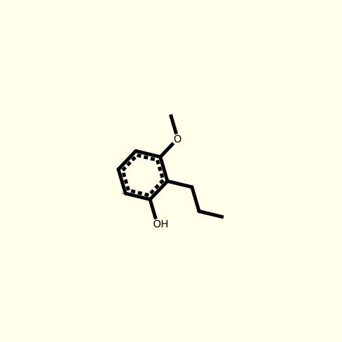 CCCc1c(O)[c]ccc1OC